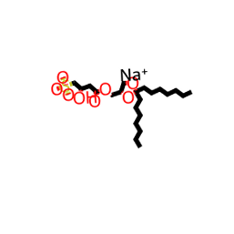 CCCCCCCC1(CCCCCCC)OCC(COC(=O)CC(O)CS(=O)(=O)[O-])O1.[Na+]